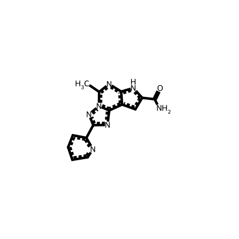 Cc1nc2[nH]c(C(N)=O)cc2c2nc(-c3ccccn3)nn12